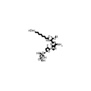 CCCCCCCCCCCCCCCCCC(=O)NC(c1nc(N)c2ncn([C@@H]3O[C@H](COP(=O)(O)OP(=O)(O)O)C[C@H]3F)c2n1)[C@@H](C)OCC